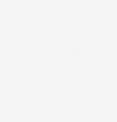 Cc1cc(NC(=O)NCC2(CNc3c(C)cncc3C)CCOCC2)ccc1F